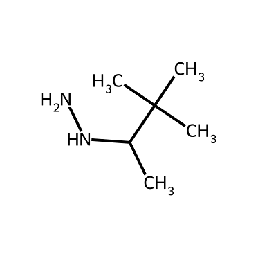 CC(NN)C(C)(C)C